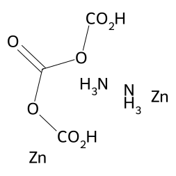 N.N.O=C(O)OC(=O)OC(=O)O.[Zn].[Zn]